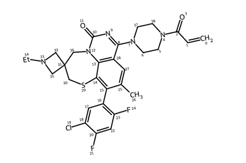 C=CC(=O)N1CCN(c2nc(=O)n3c4c(c(-c5cc(Cl)c(F)cc5F)c(C)cc24)SCC2(CN(CC)C2)C3)CC1